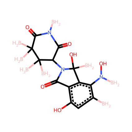 Bc1cc(O)c2c(c1N(B)O)C(B)(O)N(C1C(=O)N(B)C(=O)C(B)(B)C1(B)B)C2=O